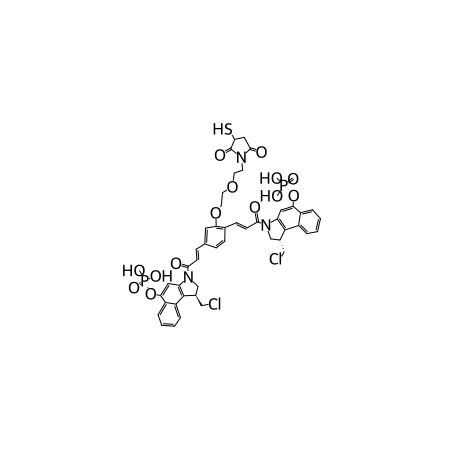 O=C1CC(S)C(=O)N1CCOCCOc1cc(/C=C/C(=O)N2C[C@@H](CCl)c3c2cc(OP(=O)(O)O)c2ccccc32)ccc1/C=C/C(=O)N1C[C@@H](CCl)c2c1cc(OP(=O)(O)O)c1ccccc21